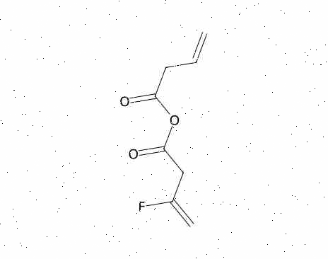 C=CCC(=O)OC(=O)CC(=C)F